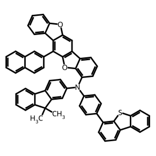 CC1(C)c2ccccc2-c2ccc(N(c3ccc(-c4cccc5c4sc4ccccc45)cc3)c3cccc4c3oc3c(-c5ccc6ccccc6c5)c5c(cc34)oc3ccccc35)cc21